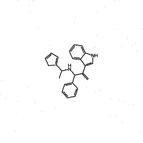 C=C(c1c[nH]c2ccccc12)C(NC(C)C1=CC=CC1)c1ccccc1